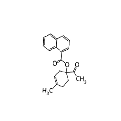 CC(=O)C1(OC(=O)c2cccc3ccccc23)CC=C(C)CC1